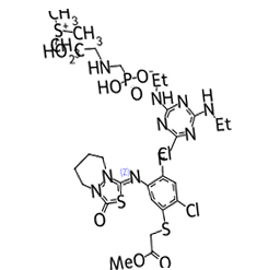 CCNc1nc(Cl)nc(NCC)n1.COC(=O)CSc1cc(/N=c2\sc(=O)n3n2CCCC3)c(F)cc1Cl.C[S+](C)C.O=C(O)CNCP(=O)([O-])O